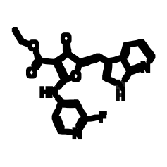 CCOC(=O)C1=C(Nc2ccnc(F)c2)O/C(=C\c2c[nH]c3ncccc23)C1=O